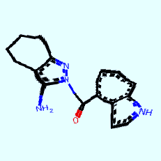 Nc1c2c(nn1C(=O)c1cccc3[nH]ccc13)CCCC2